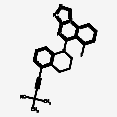 CC(C)(C#N)C#Cc1cccc2c1CCCN2c1nc2nncn2c2cccc(F)c12